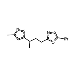 Cc1cc(C(C)CCc2ncc(C(C)C)o2)sn1